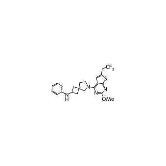 COc1nc(N2CCC3(CC(Nc4ccccc4)C3)C2)c2cc(CC(F)(F)F)sc2n1